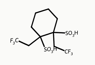 O=S(=O)(O)C1(CC(F)(F)F)CCCCC1(CC(F)(F)F)S(=O)(=O)O